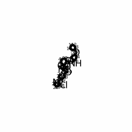 O=C(Nc1ccc(Oc2ccccc2)cc1)ON1C(C(=O)N2CCN(c3ncccc3Cl)CC2)=NOC12CCCCC2